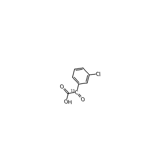 O=C(O)[13C](=O)c1cccc(Cl)c1